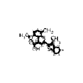 COc1ccc(C)c2nc(-c3sc4ccccc4c3C)cc(C(=O)O)c12